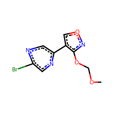 COCOc1nocc1-c1cnc(Br)cn1